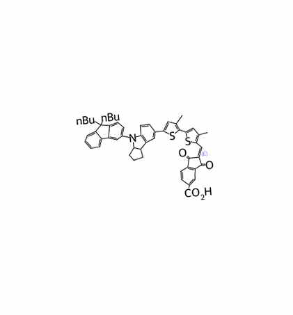 CCCCC1(CCCC)c2ccccc2-c2cc(N3c4ccc(-c5cc(C)c(-c6cc(C)c(/C=C7\C(=O)c8ccc(C(=O)O)cc8C7=O)s6)s5)cc4C4CCCC43)ccc21